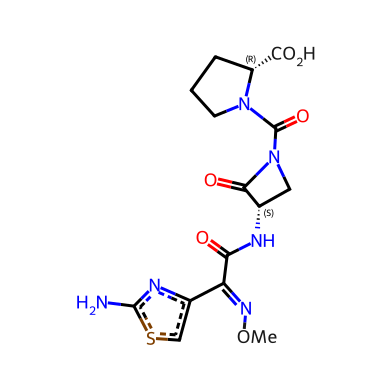 CON=C(C(=O)N[C@H]1CN(C(=O)N2CCC[C@@H]2C(=O)O)C1=O)c1csc(N)n1